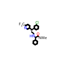 CNC(=O)[C@H](NCC[C@@H](c1ccc(C(F)(F)F)nc1)c1cccc(Cl)c1)c1ccccc1